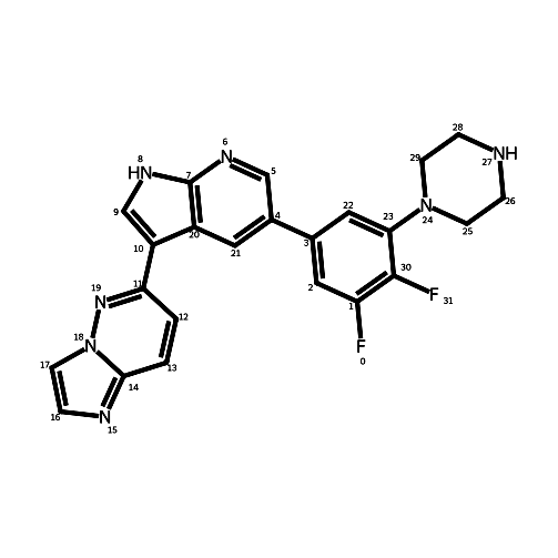 Fc1cc(-c2cnc3[nH]cc(-c4ccc5nccn5n4)c3c2)cc(N2CCNCC2)c1F